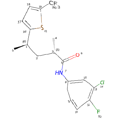 C[C@H](C[C@H](C)C(=O)Nc1ccc(F)c(Cl)c1)c1ccc(C(F)(F)F)s1